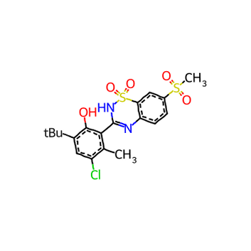 Cc1c(Cl)cc(C(C)(C)C)c(O)c1C1=Nc2ccc(S(C)(=O)=O)cc2S(=O)(=O)N1